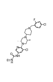 CCNC(=O)Nc1cnc(N2C[C@H](C)N(C3CCN(Cc4ccc(Cl)cc4F)CC3)C[C@H]2C)c(Cl)c1